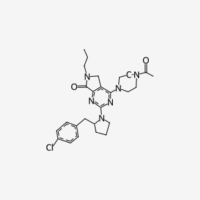 CCCN1Cc2c(nc(N3CCCC3Cc3ccc(Cl)cc3)nc2N2CCN(C(C)=O)CC2)C1=O